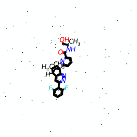 C[C@@H](CO)NC(=O)c1cccc([C@@]23CC[C@@H](c4cc(-c5c(F)cccc5F)nnc42)C3(C)C)n1